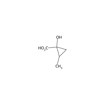 CC1CC1(O)C(=O)O